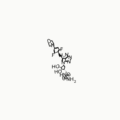 Nc1ncnc2c1c(C#Cc1c(F)cc(N3CCOCC3)cc1F)cn2[C@@H]1C[C@H](CNS(N)(=O)=O)[C@@H](O)[C@H]1O